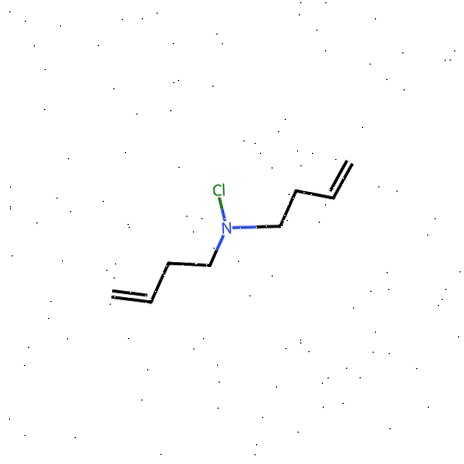 C=CCCN(Cl)CCC=C